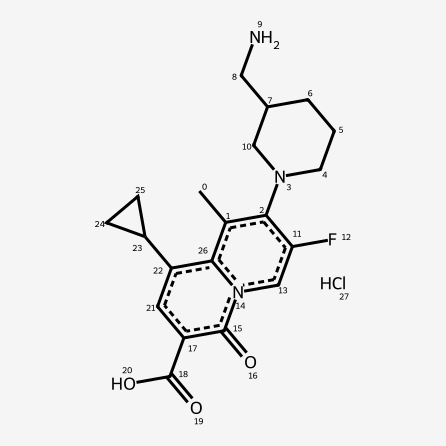 Cc1c(N2CCCC(CN)C2)c(F)cn2c(=O)c(C(=O)O)cc(C3CC3)c12.Cl